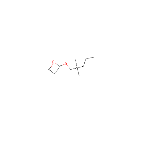 CCC[Si](C)(C)COC1CCO1